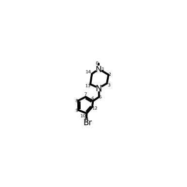 CN1CCN(Cc2cccc(Br)c2)CC1